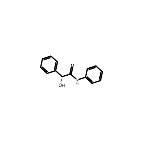 O=C(Nc1ccccc1)[C@H](O)c1ccccc1